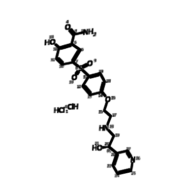 Cl.Cl.NC(=O)c1cc(S(=O)(=O)c2ccc(OCCNC[C@H](O)c3cccnc3)cc2)ccc1O